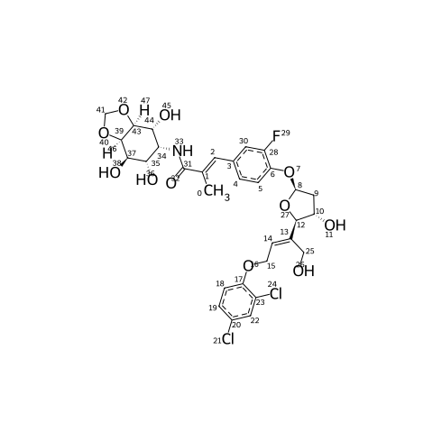 CC(=Cc1ccc(O[C@H]2C[C@H](O)[C@@H](C(=CCOc3ccc(Cl)cc3Cl)CO)O2)c(F)c1)C(=O)N[C@@H]1[C@H](O)[C@@H](O)[C@H]2OCO[C@H]2[C@@H]1O